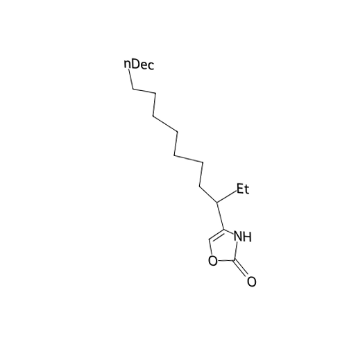 CCCCCCCCCCCCCCCCCC(CC)c1coc(=O)[nH]1